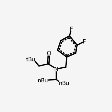 CCCCC(CCCC)N(Cc1ccc(F)c(F)c1)C(=O)CC(C)(C)C